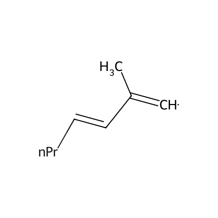 [CH]=C(C)C=CCCC